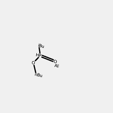 CCCCO[PH](=O)C(C)CC.[Al]